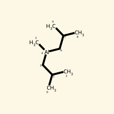 CC(C)[CH2][Al]([CH3])[CH2]C(C)C